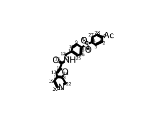 CC(=O)c1ccc(S(=O)(=O)c2ccc(CNC(=O)c3cc4ccncc4o3)cc2)cc1